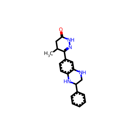 CC1CC(=O)NN=C1c1ccc2c(c1)NCC(c1ccccc1)N2